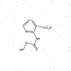 CCCOC(=O)Nc1ncccc1C(=O)O